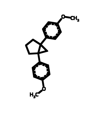 COc1ccc(C23CCCC2(c2ccc(OC)cc2)C3)cc1